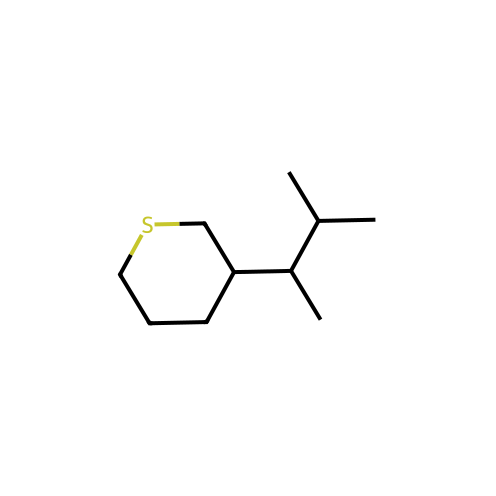 CC(C)C(C)C1CCCSC1